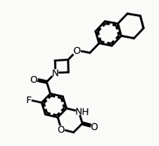 O=C1COc2cc(F)c(C(=O)N3CC(OCc4ccc5c(c4)CCCC5)C3)cc2N1